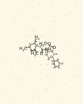 COC=O.Cc1cc(C)c(CC(=O)NC2CCC(c3ccccc3)CC2)c(C)c1